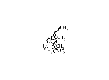 CCCCOCC1(C(=O)OC)CCC(C)N1C(=O)OC(C)(C)C